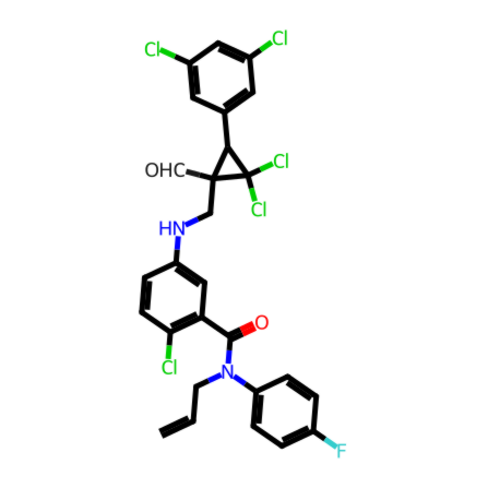 C=CCN(C(=O)c1cc(NCC2(C=O)C(c3cc(Cl)cc(Cl)c3)C2(Cl)Cl)ccc1Cl)c1ccc(F)cc1